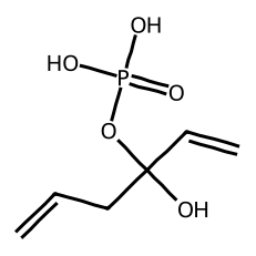 C=CCC(O)(C=C)OP(=O)(O)O